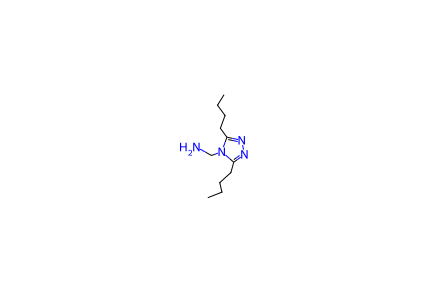 CCCCc1nnc(CCCC)n1CN